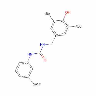 CSc1cccc(NC(=O)NCc2cc(C(C)(C)C)c(O)c(C(C)(C)C)c2)c1